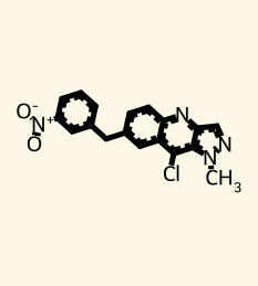 Cn1ncc2nc3ccc(Cc4cccc([N+](=O)[O-])c4)cc3c(Cl)c21